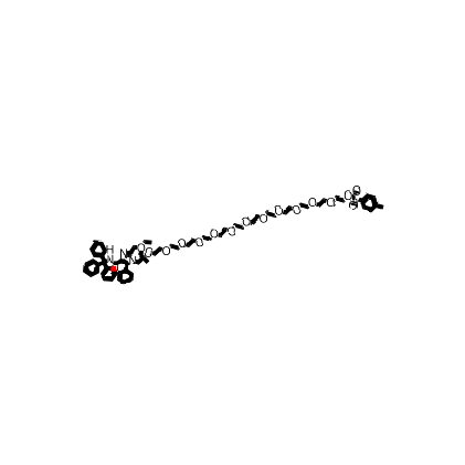 CCOCc1nc2c(NC(c3ccccc3)(c3ccccc3)c3ccccc3)nc3ccccc3c2n1CC(C)(C)OCCOCCOCCOCCOCCOCCOCCOCCOCCOCCOCCOCCOS(=O)(=O)c1ccc(C)cc1